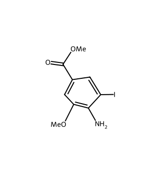 COC(=O)c1cc(I)c(N)c(OC)c1